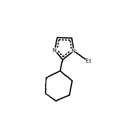 CCn1ccnc1C1CCCCC1